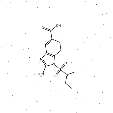 CCN(C)S(=O)(=O)n1c(N)nc2c1CCC(C(=O)O)=C2